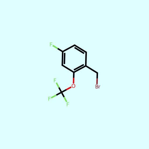 Fc1ccc(CBr)c(OC(F)(F)F)c1